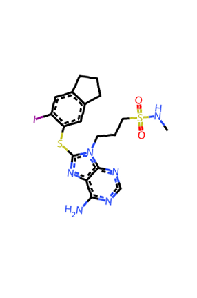 CNS(=O)(=O)CCCn1c(Sc2cc3c(cc2I)CCC3)nc2c(N)ncnc21